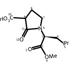 COC(=O)[C@H](CC(C)C)N1CCC(C(=O)O)C1=O